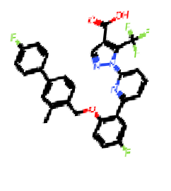 Cc1cc(-c2ccc(F)cc2)ccc1COc1ccc(F)cc1-c1cccc(-n2ncc(C(=O)O)c2C(F)(F)F)n1